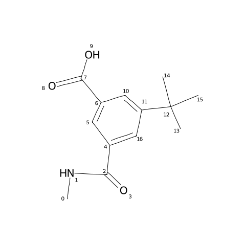 CNC(=O)c1cc(C(=O)O)cc(C(C)(C)C)c1